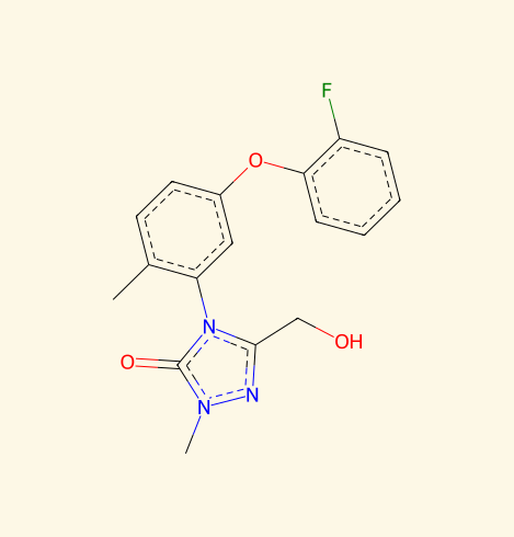 Cc1ccc(Oc2ccccc2F)cc1-n1c(CO)nn(C)c1=O